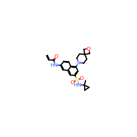 C=CC(=O)Nc1ccc2c(N3CCC4(CC3)COC4)cc(S(=O)(=O)NC3(C)CC3)cc2c1